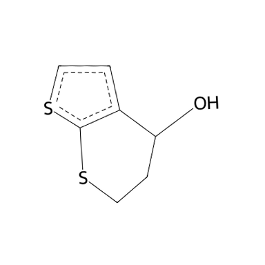 OC1CCSc2sccc21